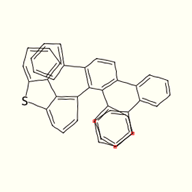 c1ccc(-c2ccccc2-c2ccc(-c3ccccc3)c(-c3cccc4sc5ccccc5c34)c2-c2ccccc2)cc1